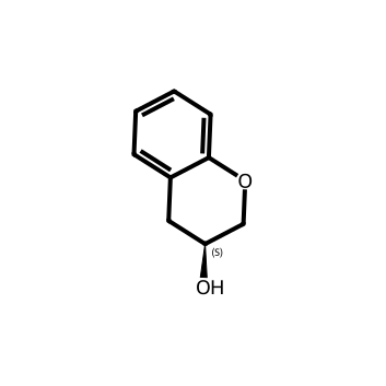 O[C@@H]1COc2ccccc2C1